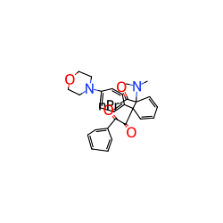 CCCC(=O)C1(N(C)C)C=CC=CC1(C(=O)C(=O)c1ccccc1)c1ccc(N2CCOCC2)cc1